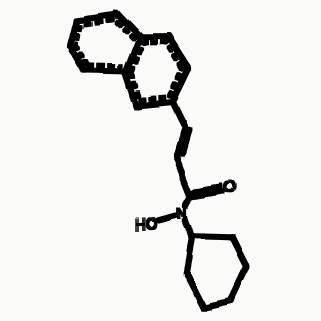 O=C(C=Cc1ccc2ccccc2c1)N(O)C1CCCCC1